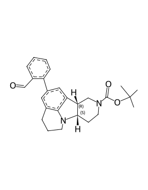 CC(C)(C)OC(=O)N1CC[C@H]2[C@@H](C1)c1cc(-c3ccccc3C=O)cc3c1N2CCC3